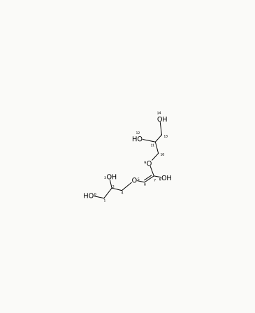 OCC(O)COC=C(O)OCC(O)CO